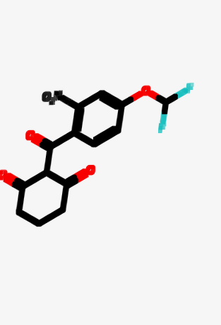 O=C1CCCC(=O)C1C(=O)c1ccc(OC(F)F)cc1[N+](=O)[O-]